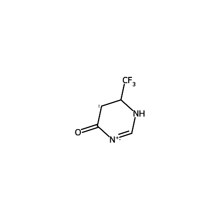 O=C1[C]C(C(F)(F)F)NC=[N+]1